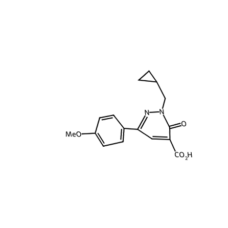 COc1ccc(-c2cc(C(=O)O)c(=O)n(CC3CC3)n2)cc1